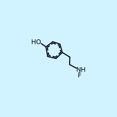 Oc1ccc(CCNF)cc1